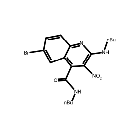 CCCCNC(=O)c1c([N+](=O)[O-])c(NCCCC)nc2ccc(Br)cc12